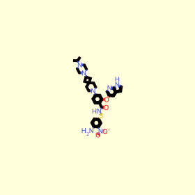 CC(C)N1CCN(C2CC3(CCN(c4ccc(C(=O)NSc5ccc(N)c([N+](=O)[O-])c5)c(Oc5cnc6[nH]ccc6c5)c4)CC3)C2)CC1